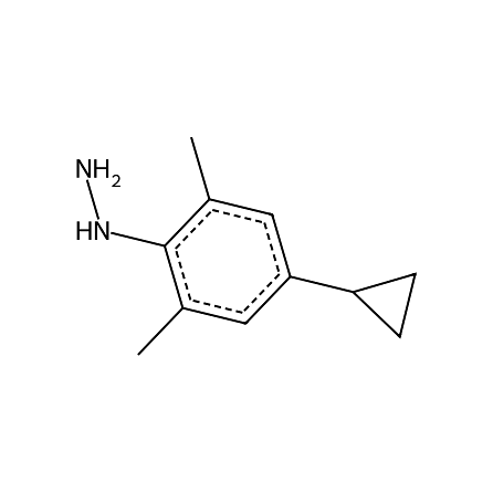 Cc1cc(C2CC2)cc(C)c1NN